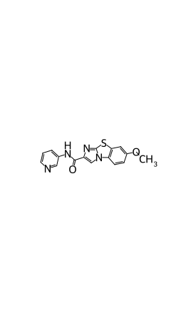 COc1ccc2c(c1)sc1nc(C(=O)Nc3cccnc3)cn12